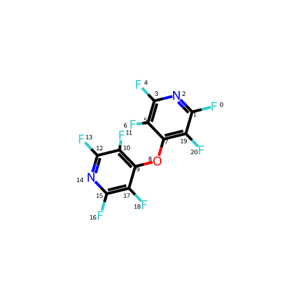 Fc1nc(F)c(F)c(Oc2c(F)c(F)nc(F)c2F)c1F